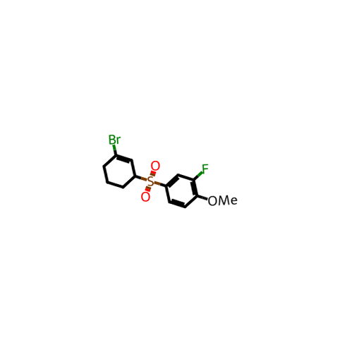 COc1ccc(S(=O)(=O)C2C=C(Br)CCC2)cc1F